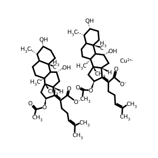 CC(=O)O[C@H]1C[C@@]2(C)[C@H](C[C@@H](O)C3[C@@]4(C)CC[C@@H](O)[C@@H](C)C4CC[C@@]32C)C1=C(CCC=C(C)C)C(=O)[O-].CC(=O)O[C@H]1C[C@@]2(C)[C@H](C[C@@H](O)C3[C@@]4(C)CC[C@@H](O)[C@@H](C)C4CC[C@@]32C)C1=C(CCC=C(C)C)C(=O)[O-].[Cu+2]